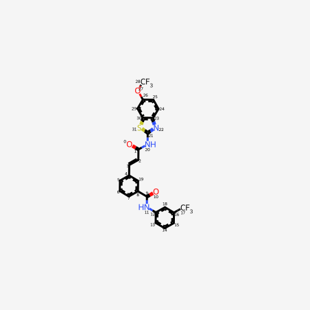 O=C(C=Cc1cccc(C(=O)Nc2cccc(C(F)(F)F)c2)c1)Nc1nc2ccc(OC(F)(F)F)cc2s1